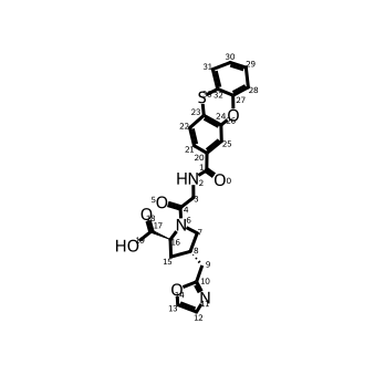 O=C(NCC(=O)N1C[C@H](Cc2ncco2)C[C@H]1C(=O)O)c1ccc2c(c1)Oc1ccccc1S2